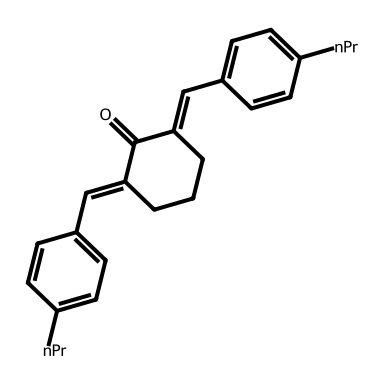 CCCc1ccc(C=C2CCCC(=Cc3ccc(CCC)cc3)C2=O)cc1